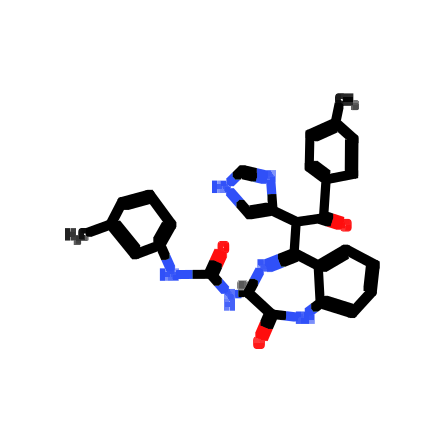 Cc1ccc(C(=O)C(C2=N[C@@H](NC(=O)Nc3cccc(C)c3)C(=O)Nc3ccccc32)c2c[nH]cn2)cc1